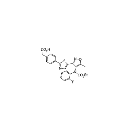 CCOC(=O)N(c1ccccc1F)c1c(-c2cnc(-c3ccc(CC(=O)O)cc3)s2)noc1C